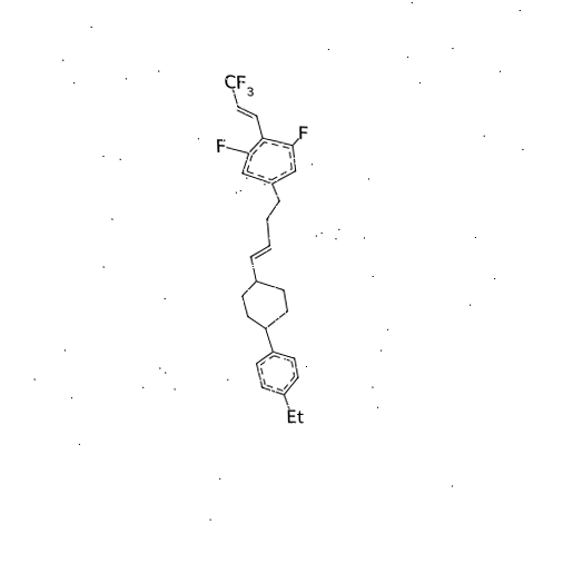 CCc1ccc(C2CCC(/C=C/CCc3cc(F)c(/C=C/C(F)(F)F)c(F)c3)CC2)cc1